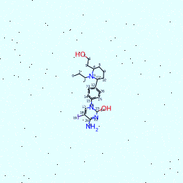 CCCN1C(CCO)CCCC1c1ccc(N2C=C(I)C(N)=NC2O)cc1